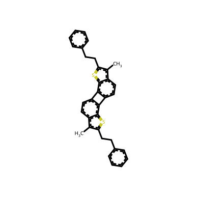 Cc1c(CCc2ccccc2)sc2c3c(ccc12)-c1c-3ccc2c(C)c(CCc3ccccc3)sc12